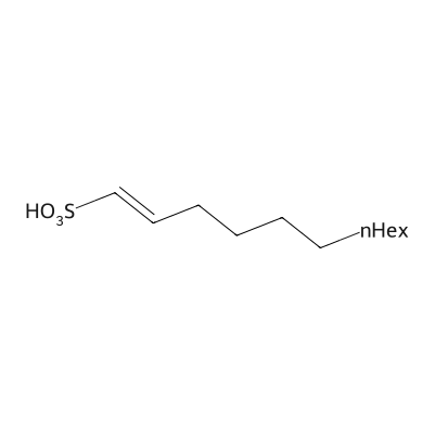 CCCCCCCCCCC=CS(=O)(=O)O